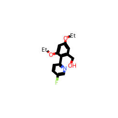 CCOc1cc(CO)c(-c2ccc(F)cn2)c(OCC)c1